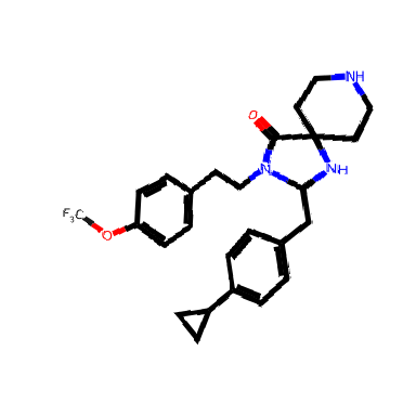 O=C1N(CCc2ccc(OC(F)(F)F)cc2)C(Cc2ccc(C3CC3)cc2)NC12CCNCC2